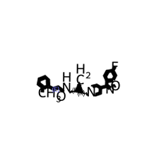 C=C1[C@H](CNC(=O)/C=C/c2ccccc2C)[C@H]1CN1CCC(c2noc3cc(F)ccc23)CC1